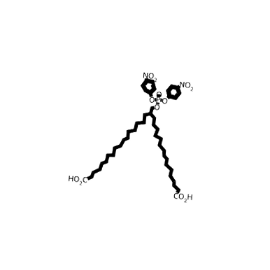 O=C(O)CCCCCCCCCCCCCCCCC(CCCCCCCCCCCCCCCC(=O)O)COP(=O)(Oc1ccc([N+](=O)[O-])cc1)Oc1ccc([N+](=O)[O-])cc1